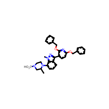 CC1CN(C(=O)O)CCN1c1cccc2c(-c3ccc(OCc4ccccc4)nc3OCc3ccccc3)nn(C)c12